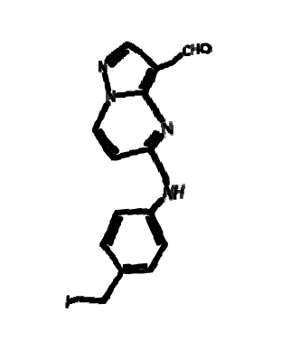 O=Cc1cnn2ccc(Nc3ccc(CI)cc3)nc12